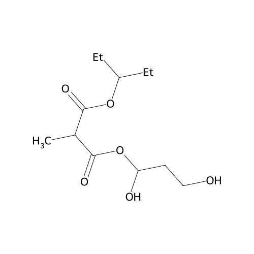 CCC(CC)OC(=O)C(C)C(=O)OC(O)CCO